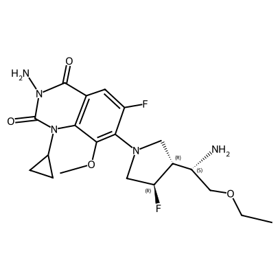 CCOC[C@@H](N)[C@H]1CN(c2c(F)cc3c(=O)n(N)c(=O)n(C4CC4)c3c2OC)C[C@@H]1F